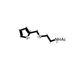 CC(=O)NCCSCc1cccs1